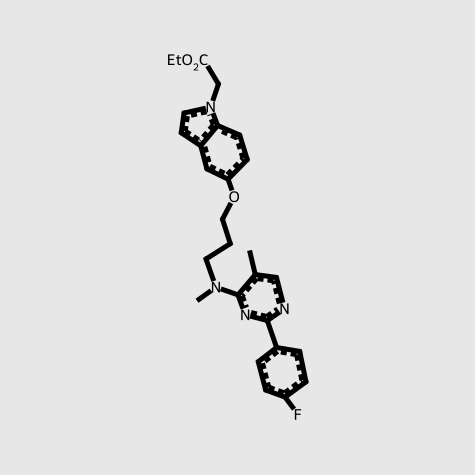 CCOC(=O)Cn1ccc2cc(OCCCN(C)c3nc(-c4ccc(F)cc4)ncc3C)ccc21